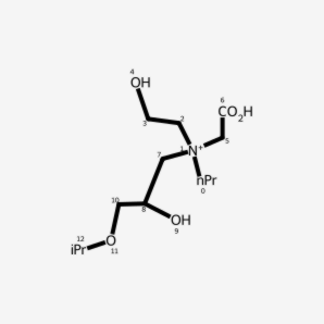 CCC[N+](CCO)(CC(=O)O)CC(O)COC(C)C